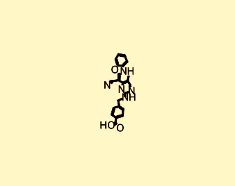 Cc1cnc(NCc2ccc(C(=O)O)cc2)nc1/C(C#N)=C1\Nc2ccccc2O1